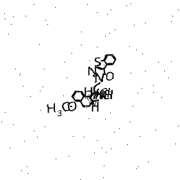 COc1cccc2c1CC[C@H]1CNC(CCn3cnc4sc5ccccc5c4c3=O)[C@@H]21.Cl.Cl